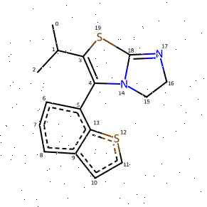 CC(C)C1=C(c2cccc3ccsc23)N2CCN=C2S1